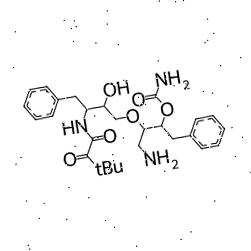 CC(C)(C)C(=O)C(=O)NC(Cc1ccccc1)C(O)COC(CN)C(Cc1ccccc1)OC(N)=O